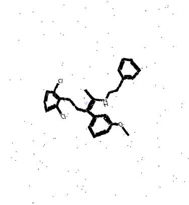 COc1cccc(/C(CCc2c(Cl)cccc2Cl)=C(/C)NCCc2ccccc2)c1